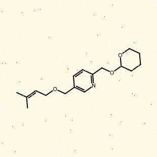 CC(C)=CCOCc1ccc(COC2CCCCO2)nc1